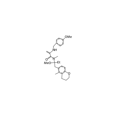 C=C(NCc1ccc(OC)cc1)C(=O)N(C)C(CC)(Cc1ccc2c(c1C)CCCO2)OC